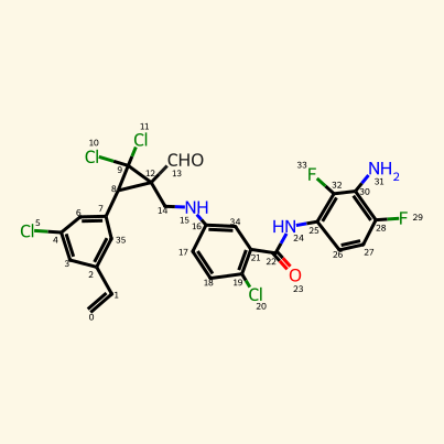 C=Cc1cc(Cl)cc(C2C(Cl)(Cl)C2(C=O)CNc2ccc(Cl)c(C(=O)Nc3ccc(F)c(N)c3F)c2)c1